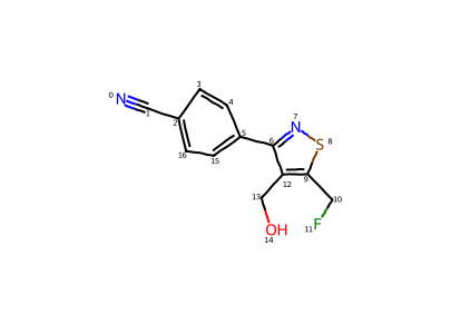 N#Cc1ccc(-c2nsc(CF)c2CO)cc1